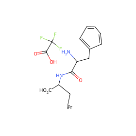 CC(C)CC(NC(=O)C(N)Cc1ccccc1)C(=O)O.O=C(O)C(F)(F)F